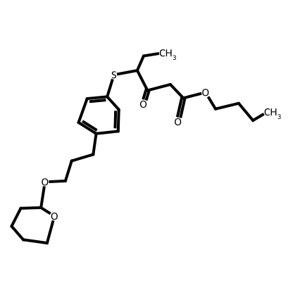 CCCCOC(=O)CC(=O)C(CC)Sc1ccc(CCCOC2CCCCO2)cc1